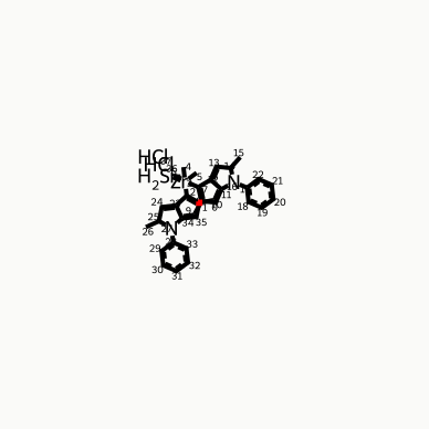 CC1=[C]([Zr]([CH3])([CH3])(=[SiH2])[C]2=C(C)C=C3C2=CC(C)N3c2ccccc2)C2=CC(C)N(c3ccccc3)C2=C1.Cl.Cl